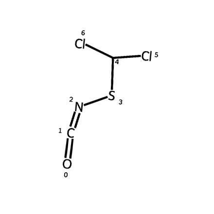 O=C=NSC(Cl)Cl